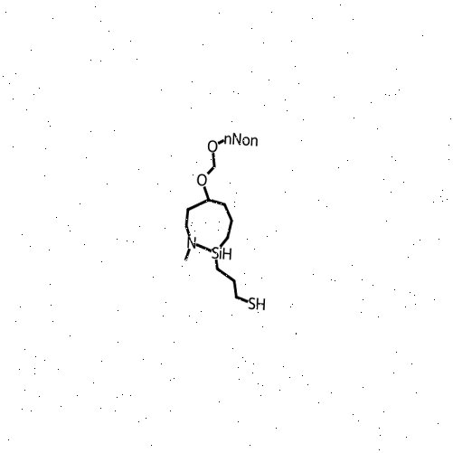 CCCCCCCCCOCOC1CCC[SiH](CCCS)N(C)CC1